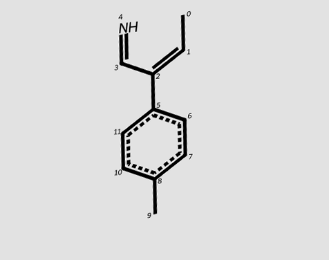 C/C=C(\C=N)c1ccc(C)cc1